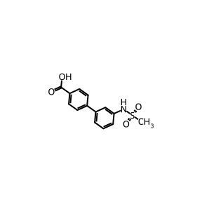 CS(=O)(=O)Nc1cccc(-c2ccc(C(=O)O)cc2)c1